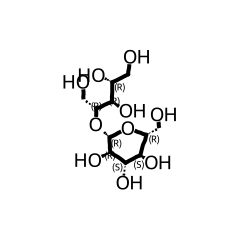 OC[C@@H](O)[C@@H](O)[C@@H](CO)O[C@@H]1O[C@H](CO)[C@@H](O)[C@H](O)[C@H]1O